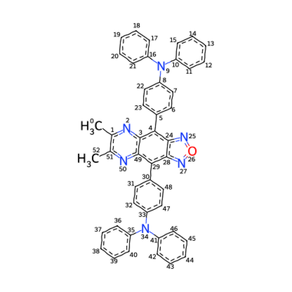 Cc1nc2c(-c3ccc(N(c4ccccc4)c4ccccc4)cc3)c3nonc3c(-c3ccc(N(c4ccccc4)c4ccccc4)cc3)c2nc1C